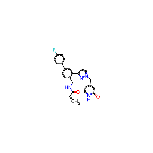 C=CC(=O)NCc1ccc(-c2ccc(F)cc2)cc1-c1ccn(Cc2cc[nH]c(=O)c2)n1